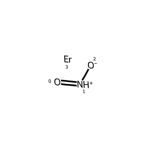 O=[NH+][O-].[Er]